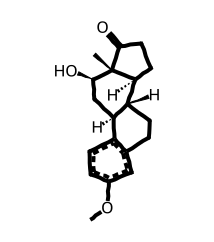 COc1ccc2c(c1)CC[C@@H]1[C@@H]2C[C@@H](O)[C@]2(C)C(=O)CC[C@@H]12